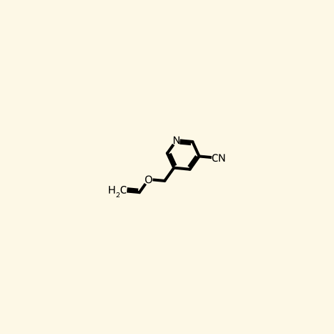 C=COCc1cncc(C#N)c1